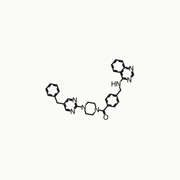 O=C(c1ccc(CNc2ncnc3ccccc23)cc1)N1CCN(c2ncc(Cc3ccccc3)cn2)CC1